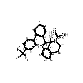 NC1(C(=O)c2ccccc2-c2ccc(C(F)(F)F)cc2)c2ccccc2CCN1C(=O)O